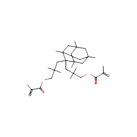 C=C(C)C(=O)OCC(C)(C)CC1(CC(C)(C)COC(=O)C(=C)C)C2(C(=O)O)CC3(C)CC(C)(C2)CC1(C(=O)O)C3